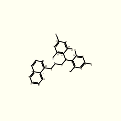 Cc1cc(C)c([C](CCCc2cccc3ccccc23)c2c(C)cc(C)cc2C)c(C)c1